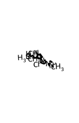 C[n+]1ccn(C2CCN(c3ccc(N)c(CC[Si](C)(C)C)c3)C2)c1.[Cl-]